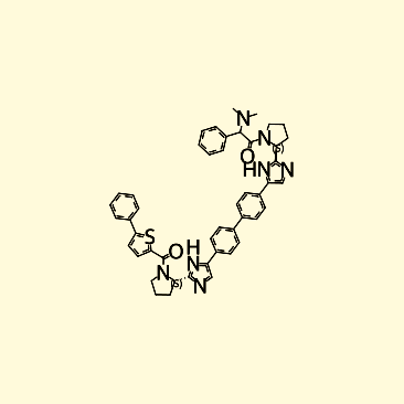 CN(C)C(C(=O)N1CCC[C@H]1c1ncc(-c2ccc(-c3ccc(-c4cnc([C@@H]5CCCN5C(=O)c5ccc(-c6ccccc6)s5)[nH]4)cc3)cc2)[nH]1)c1ccccc1